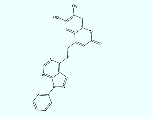 O=c1cc(CSc2ncnc3c2cnn3-c2ccccc2)c2cc(O)c(O)cc2o1